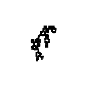 O=C(NC/C=C/c1cc(OC2CCNCC2)c2nc(Nc3ccccc3)ncc2c1)c1cncn(Cc2ccc(F)c(F)c2)c1=O